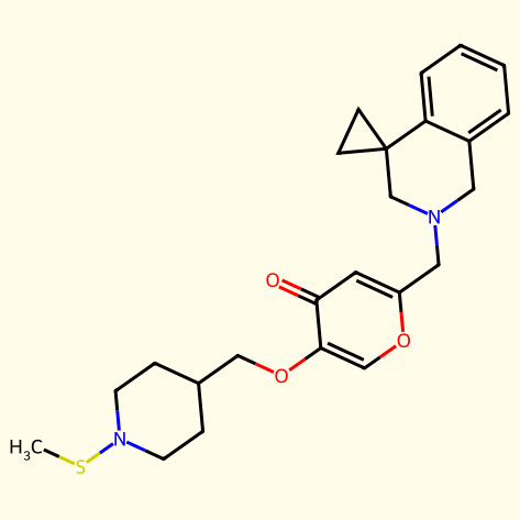 CSN1CCC(COc2coc(CN3Cc4ccccc4C4(CC4)C3)cc2=O)CC1